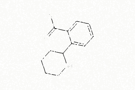 NC(=O)c1ccccc1C1CCCCN1